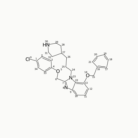 Clc1ccc(OCc2nc3cccc(OCc4ccccc4)c3n2CCCC2CCNCC2)cc1